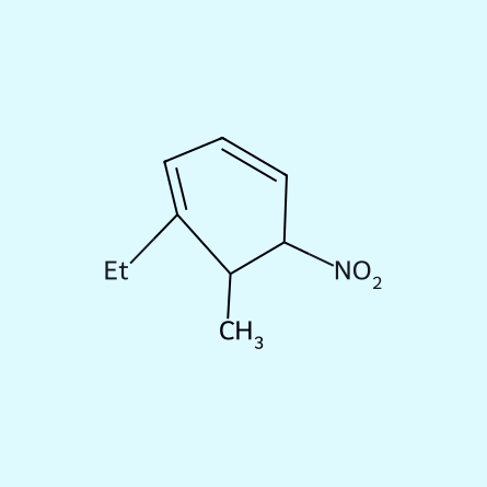 CCC1=CC=CC([N+](=O)[O-])C1C